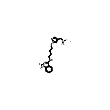 CN(C)Cc1cnn(OCCCCNC2=NS(=O)(=O)c3ccccc32)c1